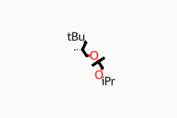 CC(C)OCC(C)(C)OC[C@H](C)CC(C)(C)C